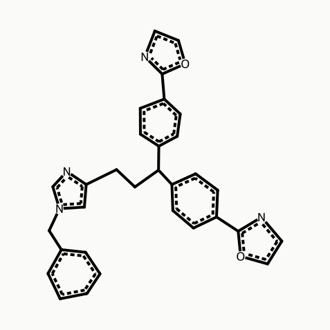 c1ccc(Cn2cnc(CCC(c3ccc(-c4ncco4)cc3)c3ccc(-c4ncco4)cc3)c2)cc1